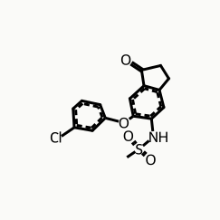 CS(=O)(=O)Nc1cc2c(cc1Oc1cccc(Cl)c1)C(=O)CC2